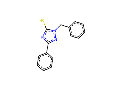 Sc1nc(-c2ccccc2)nn1Cc1ccccc1